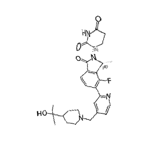 C[C@@H]1c2c(ccc(-c3cc(CN4CCC(C(C)(C)O)CC4)ccn3)c2F)C(=O)N1[C@H]1CCC(=O)NC1=O